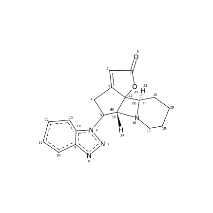 O=C1C=C2CC(n3nnc4ccccc43)[C@H]3N4CCCC[C@@H]4C23O1